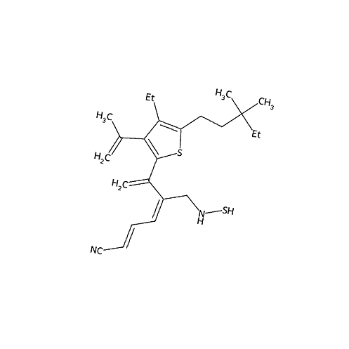 C=C(/C(=C\C=C\C#N)CNS)c1sc(CCC(C)(C)CC)c(CC)c1C(=C)C